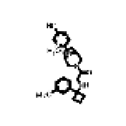 COc1cccc(C2(NCC(=O)N3CC4C[C@H](C)C(C3)N4c3ccc(C#N)cn3)CCC2)c1